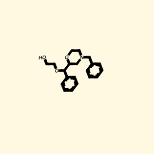 OCCOC(c1ccccc1)C1CN(Cc2ccccc2)CCO1